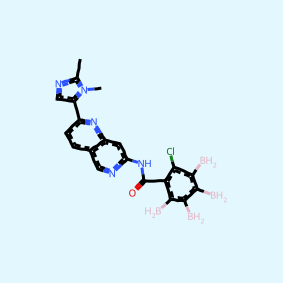 Bc1c(B)c(B)c(C(=O)Nc2cc3nc(-c4cnc(C)n4C)ccc3cn2)c(Cl)c1B